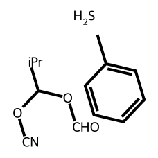 CC(C)C(OC#N)OC=O.Cc1ccccc1.S